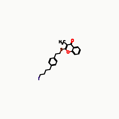 Cc1c(SCCc2ccc(CCCCI)cc2)oc2ccccc2c1=O